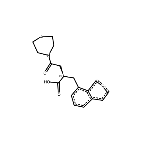 O=C(O)[C@@H](CC(=O)N1CCSCC1)Cc1cccc2ccccc12